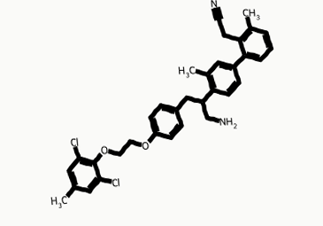 Cc1cc(Cl)c(OCCOc2ccc(CC(CN)c3ccc(-c4cccc(C)c4CC#N)cc3C)cc2)c(Cl)c1